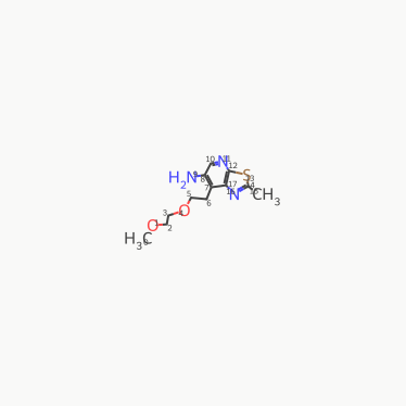 COCCOCCc1c(N)cnc2sc(C)nc12